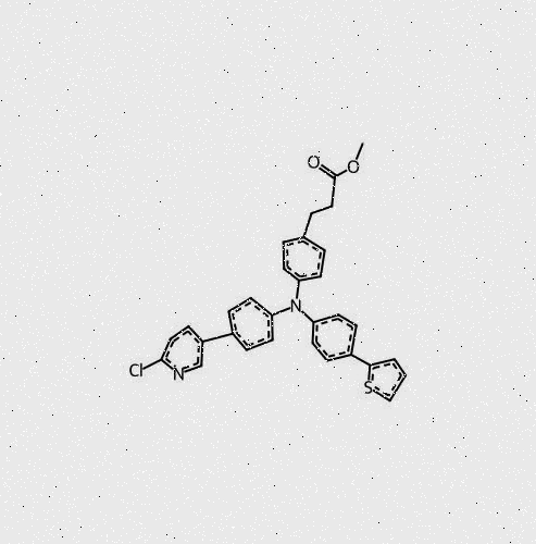 COC(=O)CCc1ccc(N(c2ccc(-c3ccc(Cl)nc3)cc2)c2ccc(-c3cccs3)cc2)cc1